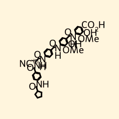 COc1c(NC(=O)c2ccc(NC(=O)c3ccc(NC(=O)[C@H](CC#N)NC(=O)c4ccc(NC(=O)C5CCCC5)cc4)cc3)c(OC)c2O)ccc(C(=O)O)c1O